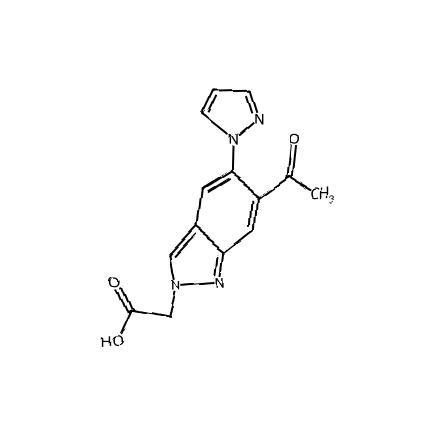 CC(=O)c1cc2nn(CC(=O)O)cc2cc1-n1cccn1